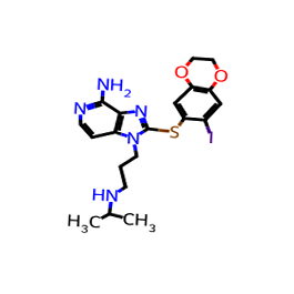 CC(C)NCCCn1c(Sc2cc3c(cc2I)OCCO3)nc2c(N)nccc21